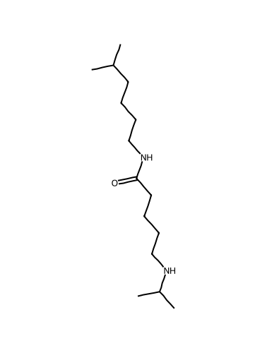 CC(C)CCCCNC(=O)CCCCNC(C)C